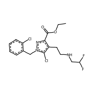 CCOC(=O)c1nn(Cc2ccccc2Cl)c(Cl)c1CCNCC(F)F